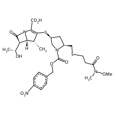 CON(C)C(=O)CCSC[C@@H]1C[C@H](SC2=C(C(=O)O)N3C(=O)[C@H]([C@@H](C)O)[C@H]3[C@H]2C)CN1C(=O)OCc1ccc([N+](=O)[O-])cc1